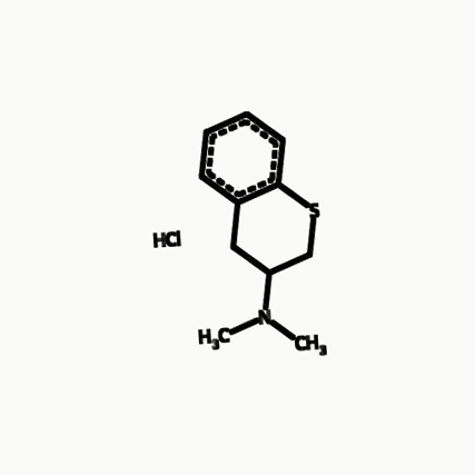 CN(C)C1CSc2ccccc2C1.Cl